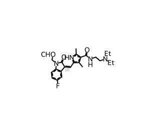 CCN(CC)CCNC(=O)c1c(C)[nH]c(/C=C2\C(=O)N(CC=O)c3ccc(F)cc32)c1C